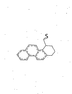 S=CC1CCCc2ccc3c(ccc4ccccc43)c21